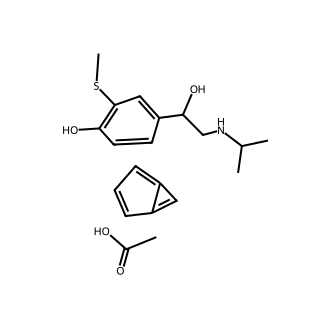 CC(=O)O.CSc1cc(C(O)CNC(C)C)ccc1O.c1cc2cc-2c1